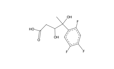 CC(O)(c1cc(F)c(F)cc1F)C(O)CC(=O)O